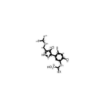 CCC(Oc1cc(-c2n[nH]c(COC(F)F)c2Cl)c(F)cc1Cl)C(=O)O